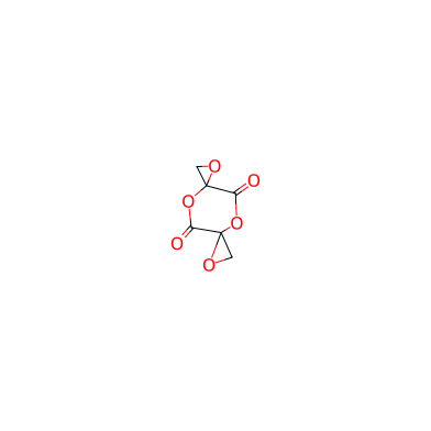 O=C1OC2(CO2)C(=O)OC12CO2